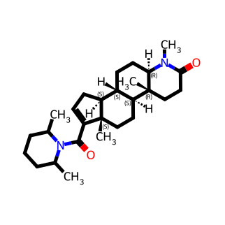 CC1CCCC(C)N1C(=O)C1=CC[C@H]2[C@@H]3CC[C@H]4N(C)C(=O)CC[C@]4(C)[C@H]3CC[C@]12C